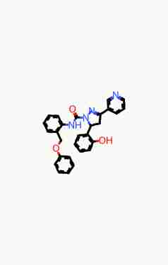 O=C(Nc1ccccc1COc1ccccc1)N1N=C(c2cccnc2)CC1c1ccccc1O